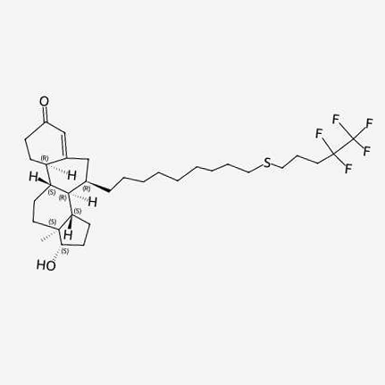 C[C@]12CC[C@H]3[C@@H]([C@H](CCCCCCCCCSCCCC(F)(F)C(F)(F)F)CC4=CC(=O)CC[C@@H]43)[C@@H]1CC[C@@H]2O